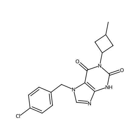 CC1CC(n2c(=O)[nH]c3ncn(Cc4ccc(Cl)cc4)c3c2=O)C1